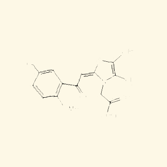 COc1ccc(Cl)cc1C(=O)C=C1SC(C)=C(C)N1CC(=O)C(C)(C)C